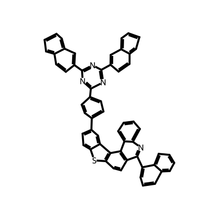 c1ccc2cc(-c3nc(-c4ccc(-c5ccc6sc7ccc8c(-c9cccc%10ccccc9%10)nc9ccccc9c8c7c6c5)cc4)nc(-c4ccc5ccccc5c4)n3)ccc2c1